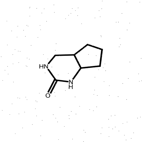 O=C1NCC2CCCC2N1